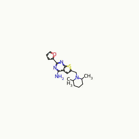 CC1CCCC(C)N1Cc1cc2c(N)nc(-c3ccco3)nc2s1